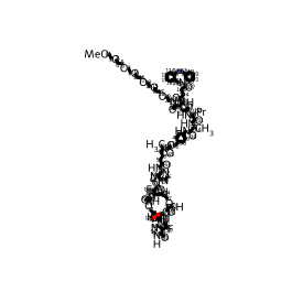 COCCOCCOCCOCCOCCOCCOCCNC(=O)[C@H](CC(=O)N[C@H](C(=O)N[C@@H](C)C(=O)Nc1ccc(COC(=O)N(C)CCCC(=O)Nc2ncnc3c2ncn3[C@@H]2O[C@@H]3CCO[P@@](=O)(S)O[C@@H]4[C@H](O)[C@@H](CO[PH](=O)O[C@H]3[C@H]2F)O[C@H]4n2cc(F)c3c(=O)[nH]cnc32)cc1)C(C)C)NC(=O)CCC(=O)N1Cc2ccccc2/C=C\c2ccccc21